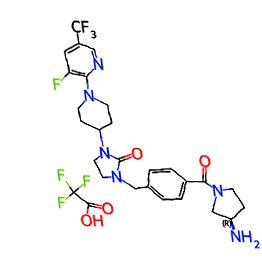 N[C@@H]1CCN(C(=O)c2ccc(CN3CCN(C4CCN(c5ncc(C(F)(F)F)cc5F)CC4)C3=O)cc2)C1.O=C(O)C(F)(F)F